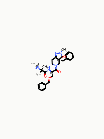 CN1N=C2CCN(C(=O)[C@@H](COCc3ccccc3)NC(=O)C(C)(C)NC(=O)O)C[C@@]2(Cc2ccccc2)C1=O